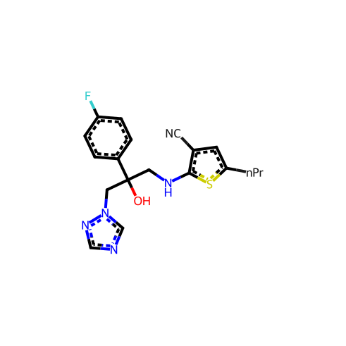 CCCc1cc(C#N)c(NCC(O)(Cn2cncn2)c2ccc(F)cc2)s1